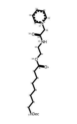 CCCCCCCCCCCCCCCCCC(=O)OCCNC(=O)C[n+]1ccccc1